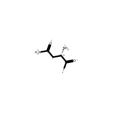 NC(=O)C[C@H](N)C(=O)I